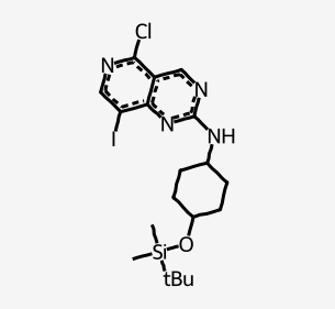 CC(C)(C)[Si](C)(C)OC1CCC(Nc2ncc3c(Cl)ncc(I)c3n2)CC1